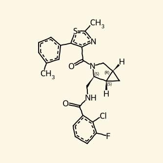 Cc1cccc(-c2sc(C)nc2C(=O)N2C[C@@H]3C[C@@H]3[C@H]2CNC(=O)c2cccc(F)c2Cl)c1